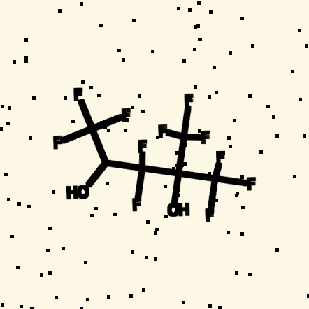 OC(C(F)(F)F)C(F)(F)C(O)(C(F)(F)F)C(F)(F)F